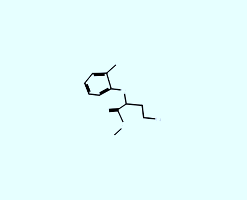 COC(=O)C(CCBr)Oc1ccccc1C